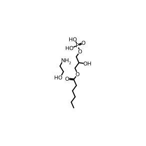 CCCCCC(=O)OCC(O)COP(=O)(O)O.NCCO